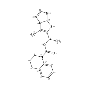 Cc1c(C(C)OC(=O)N2CCCc3ccccc32)sc2ncnn12